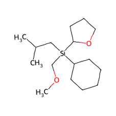 COC[Si](CC(C)C)(C1CCCCC1)C1CCCO1